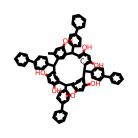 Cc1cc(O)c2cc1C(c1ccc(-c3ccccc3)cc1)c1cc(c(O)cc1O)C(c1ccc(-c3ccccc3)cc1)c1cc(c(O)cc1O)C(c1ccc(-c3ccccc3)cc1)c1cc(c(O)cc1O)C2c1ccc(-c2ccccc2)cc1